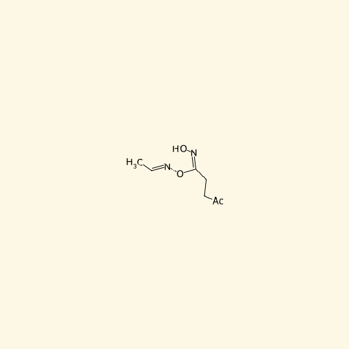 CC=NOC(CCC(C)=O)=NO